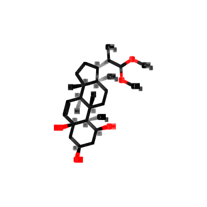 COC(OC)C(C)[C@H]1CC[C@H]2[C@@H]3C=C[C@@]4(O)C[C@H](O)C[C@H](O)[C@]4(C)[C@H]3CC[C@]12C